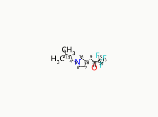 CC(C)CCN1CC[C@@H](CC(=O)C(F)(F)F)C1